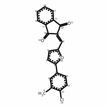 Cc1cc(-c2ccc(C=C3C(=O)c4ccccc4C3=O)o2)ccc1Cl